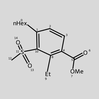 CCCCCCc1ccc(C(=O)OC)c(CC)c1S(C)(=O)=O